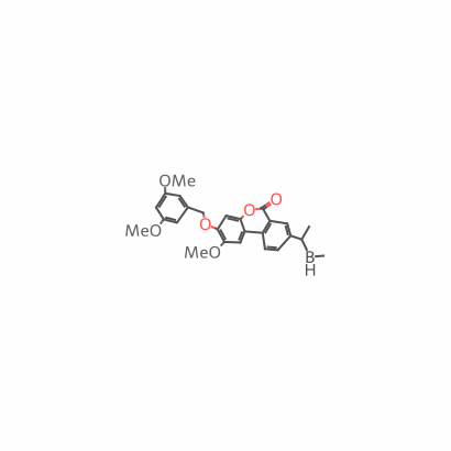 CBC(C)c1ccc2c(c1)c(=O)oc1cc(OCc3cc(OC)cc(OC)c3)c(OC)cc12